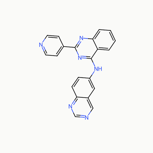 c1ccc2c(Nc3ccc4ncncc4c3)nc(-c3ccncc3)nc2c1